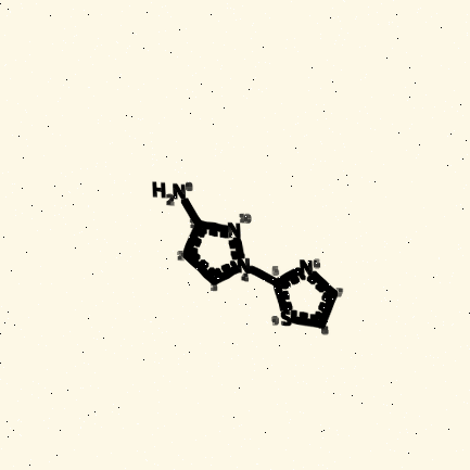 Nc1ccn(-c2nccs2)n1